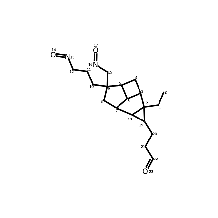 CCC12C3CC4C3C(CC4(CCCN=O)CN=O)C1C2CCC=O